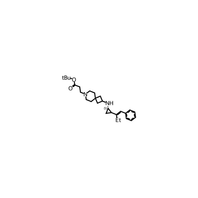 CCC(=Cc1ccccc1)C1C[C@@H]1NC1CC2(CCN(CCC(=O)OC(C)(C)C)CC2)C1